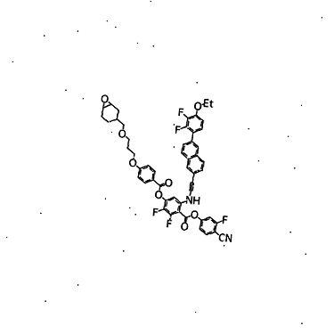 CCOc1ccc(-c2ccc3cc(C#CNc4cc(OC(=O)c5ccc(OCCCOCC6CCC7OC7C6)cc5)c(F)c(F)c4C(=O)Oc4ccc(C#N)c(F)c4)ccc3c2)c(F)c1F